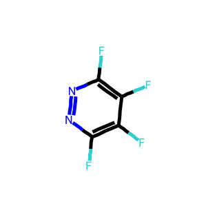 Fc1nnc(F)c(F)c1F